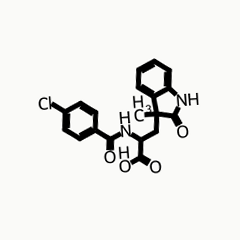 CC1(CC(NC(=O)c2ccc(Cl)cc2)C(=O)O)C(=O)Nc2ccccc21